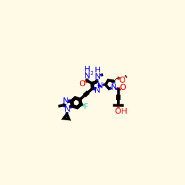 CNc1c(C(N)=O)c(C#Cc2cc3nc(C)n(C4CC4)c3cc2F)nn1[C@H]1C[C@H](COC)N(C(=O)C#CC(C)(C)O)C1